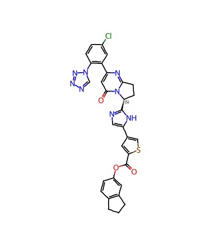 O=C(Oc1ccc2c(c1)CCC2)c1cc(-c2cnc([C@@H]3CCc4nc(-c5cc(Cl)ccc5-n5cnnn5)cc(=O)n43)[nH]2)cs1